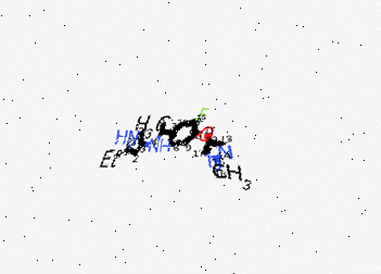 CC[C@H]1CC(NC(C)c2ccc(Oc3cnn(C)c3)c(F)c2)=CN1